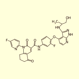 CC(CO)Nc1n[nH]c2nccc(Oc3ccc(NC(=O)c4cc5c(n(-c6ccc(F)cn6)c4=O)CCCC5=O)cc3F)c12